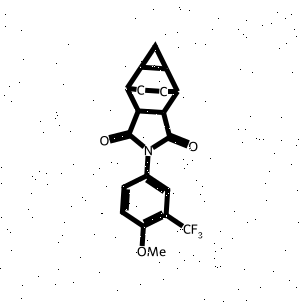 COc1ccc(N2C(=O)C3C4CCC(C5CC54)C3C2=O)cc1C(F)(F)F